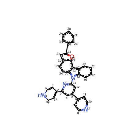 C1=CC(c2cc(-c3ccncc3)cc(-n3c4ccccc4c4c5oc(-c6ccccc6)cc5ccc43)n2)=CCN1